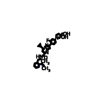 C/C=C(/C)c1ccccc1CCNC(=O)c1cc(C2CC2)n2nc(-c3ccc(N4CCC(O)(CO)C4)cc3F)cc2n1